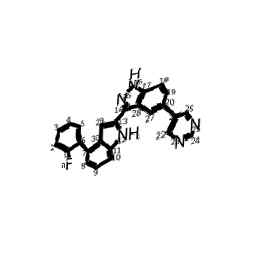 Fc1ccccc1-c1cccc2[nH]c(-c3n[nH]c4ccc(-c5cncnc5)cc34)cc12